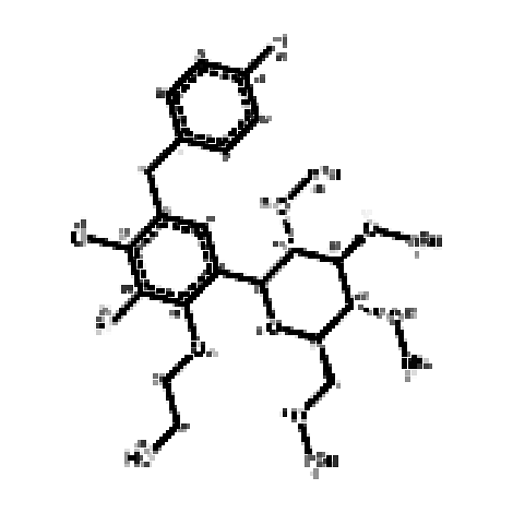 CCCCOC[C@H]1OC(c2cc(Cc3ccc(CC)cc3)c(Cl)c(Br)c2OCCO)[C@H](OCCCC)[C@@H](OCCCC)[C@@H]1OCCCC